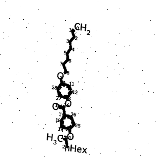 C=CCCCCCCCOc1ccc(OC(=O)c2ccc(OC(C)CCCCCC)cc2)cc1